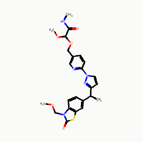 CNC(=O)C(OC)OCc1ccc(-n2ccc(C(C)c3ccc4c(c3)sc(=O)n4COC)n2)nc1